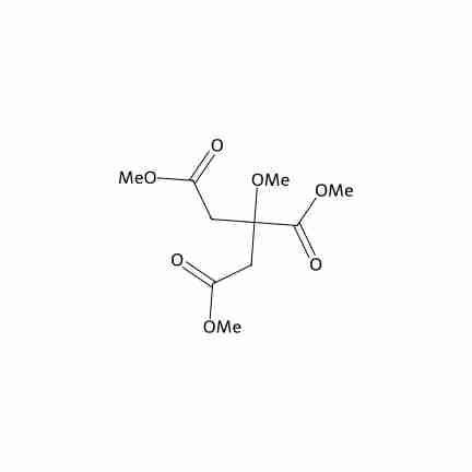 COC(=O)CC(CC(=O)OC)(OC)C(=O)OC